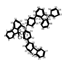 CC1(C)c2ccccc2-c2cccc(N(c3ccc(-c4ccc5sc6ccccc6c5c4)cc3)c3ccc(-c4cccc5c4c4ccccc4n5-c4ccccc4)cc3)c21